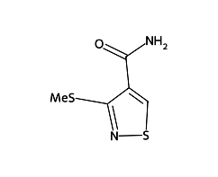 CSc1nscc1C(N)=O